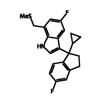 CSCc1cc(F)cc2c(C3(C4CC4)CCc4cc(F)ccc43)c[nH]c12